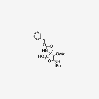 COC(C(=O)NC(C)(C)C)C(C)(NC(=O)OCc1ccccc1)C(=O)O